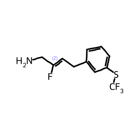 NC/C(F)=C/Cc1cccc(SC(F)(F)F)c1